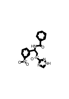 O=C(NC(C[S+]([O-])c1nc[nH]n1)c1cccc([N+](=O)[O-])c1)c1ccccc1